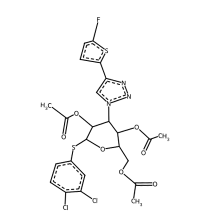 CC(=O)OCC1OC(Sc2ccc(Cl)c(Cl)c2)C(OC(C)=O)C(n2cc(-c3ccc(F)s3)nn2)C1OC(C)=O